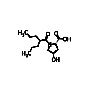 CCCC(CCC)C(=O)N1C[C@H](O)C[C@H]1C(=O)O